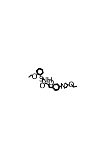 CCOc1ccccc1SNC(=O)c1cc2ccc(N3CC(OCC)C3)cc2o1